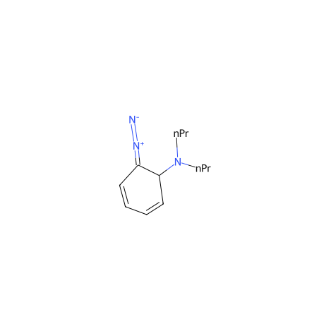 CCCN(CCC)C1C=CC=CC1=[N+]=[N-]